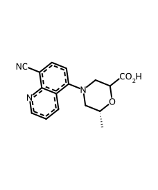 C[C@@H]1CN(c2ccc(C#N)c3ncccc23)CC(C(=O)O)O1